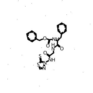 O=C(CNC(=O)C(Cc1ccccc1)NC(=O)OCc1ccccc1)Nn1ncsc1=S